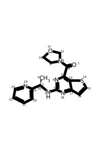 C[C@H](Nc1nc(C(=O)N2CCOC2)c2sccc2n1)c1ccccn1